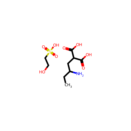 CCC(N)CC(C(=O)O)C(=O)O.O=S(=O)(O)CCO